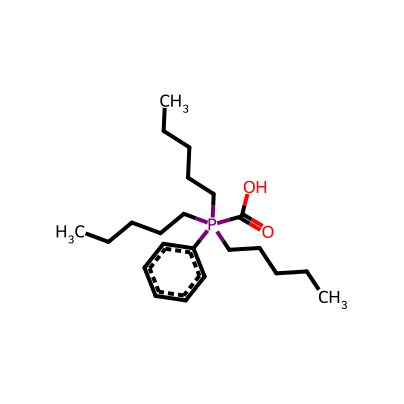 CCCCCP(CCCCC)(CCCCC)(C(=O)O)c1ccccc1